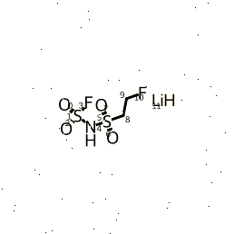 O=S(=O)(F)NS(=O)(=O)CCF.[LiH]